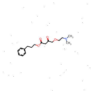 CN(C)CCOCC(=O)CC(=O)OCCCc1ccccc1